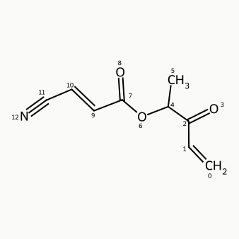 C=CC(=O)C(C)OC(=O)C=CC#N